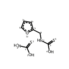 NC(O)=S.OC(=S)NCc1ccco1